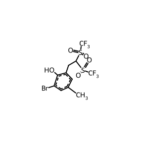 Cc1cc(Br)c(O)c(CC(S(=O)(=O)C(F)(F)F)S(=O)(=O)C(F)(F)F)c1